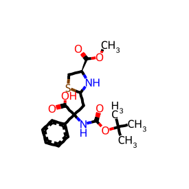 COC(=O)[C@@H]1CSC(CC(NC(=O)OC(C)(C)C)(C(=O)O)c2ccccc2)N1